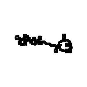 O=C(NCCCCCC(=O)N1CCNCCNCCNCC1)[C@@H]1CC[C@H](n2cnc3c(Cl)ncnc32)O1